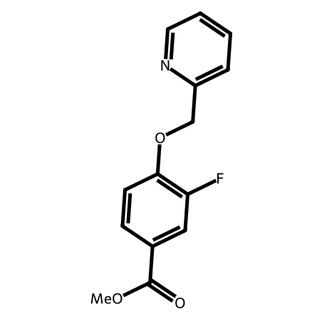 COC(=O)c1ccc(OCc2ccccn2)c(F)c1